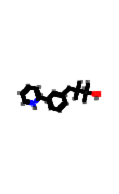 CC(C)(Cc1cccc(-c2ccccn2)c1)[Si](C)(C)O